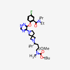 CCN(C(=O)c1cc(F)ccc1Oc1nncnc1N1CCC2(C1)CN([C@H](C[C@@H](CN(C)C(=O)OC(C)(C)C)OC)C(C)C)C2)C(C)C